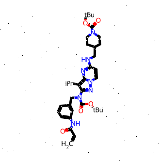 C=CC(=O)Nc1cccc(CN(C(=O)OC(C)(C)C)c2nn3ccc(NCC4CCN(C(=O)OC(C)(C)C)CC4)nc3c2C(C)C)c1